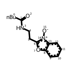 CCCCC(=O)NCCc1oc2ccccc2[n+]1[O-]